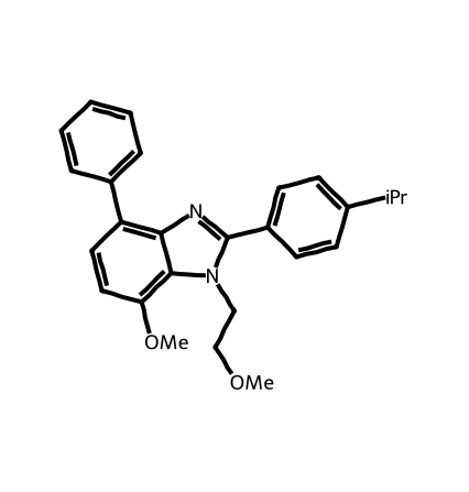 COCCn1c(-c2ccc(C(C)C)cc2)nc2c(-c3ccccc3)ccc(OC)c21